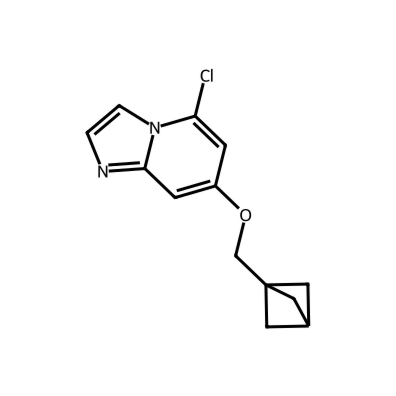 Clc1cc(OCC23CC(C2)C3)cc2nccn12